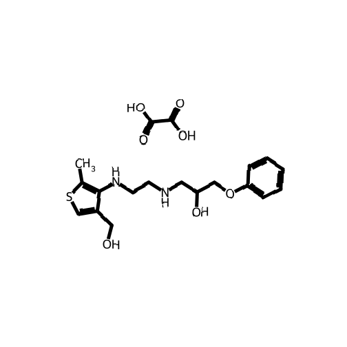 Cc1scc(CO)c1NCCNCC(O)COc1ccccc1.O=C(O)C(=O)O